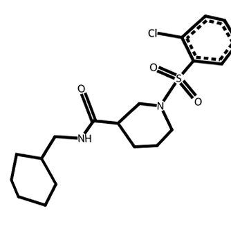 O=C(NCC1CCCCC1)C1CCCN(S(=O)(=O)c2ccccc2Cl)C1